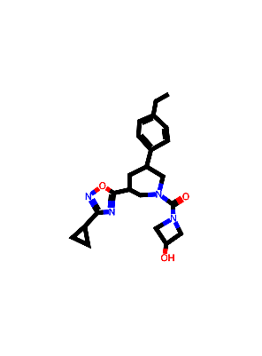 CCc1ccc(C2CC(c3nc(C4CC4)no3)CN(C(=O)N3CC(O)C3)C2)cc1